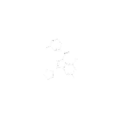 Cc1cccc(C(=S)c2nn(C3CCCC3)c3nc(Cl)nc(N)c23)c1